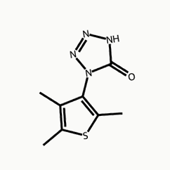 Cc1sc(C)c(-n2nn[nH]c2=O)c1C